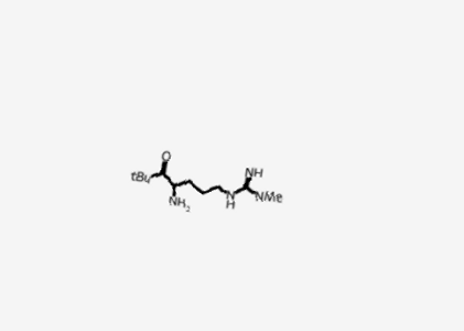 CNC(=N)NCCCC(N)C(=O)C(C)(C)C